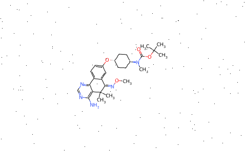 CO/N=C1\c2cc(O[C@H]3CC[C@H](N(C)C(=O)OC(C)(C)C)CC3)ccc2-c2ncnc(N)c2C1(C)C